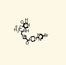 CC(CN1CC(C(=O)N2CCN(c3ncc(Br)cn3)CC2)C1)Nc1cn[nH]c(=O)c1C(F)(F)F